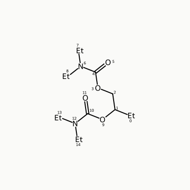 CCC(COC(=O)N(CC)CC)OC(=O)N(CC)CC